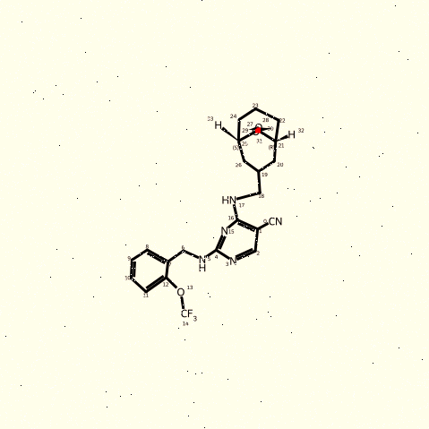 N#Cc1cnc(NCc2ccccc2OC(F)(F)F)nc1NCC1C[C@H]2CCC[C@@H](C1)C21OCCO1